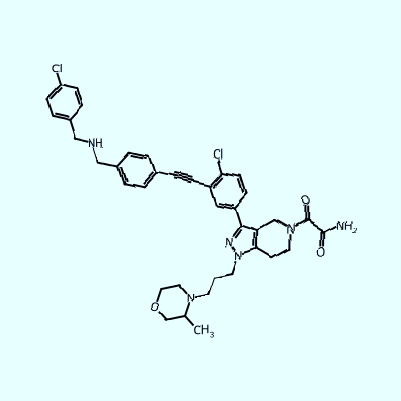 CC1COCCN1CCCn1nc(-c2ccc(Cl)c(C#Cc3ccc(CNCc4ccc(Cl)cc4)cc3)c2)c2c1CCN(C(=O)C(N)=O)C2